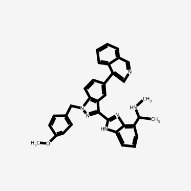 CNC(C)c1cccc2[nH]c(-c3nn(Cc4ccc(OC)cc4)c4ccc(-c5cncc6ccccc56)cc34)nc12